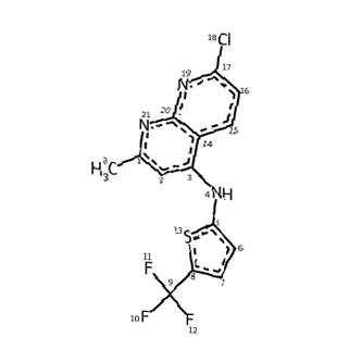 Cc1cc(Nc2ccc(C(F)(F)F)s2)c2ccc(Cl)nc2n1